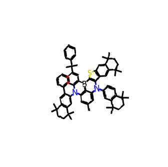 Cc1cc2c3c(c1)N(c1ccc4c(c1)C(C)(C)CCC4(C)C)c1c(sc4cc5c(cc14)C(C)(C)CCC5(C)C)B3c1cc(C(C)(C)c3ccccc3)ccc1N2c1cc2c(cc1-c1ccccc1)C(C)(C)CCC2(C)C